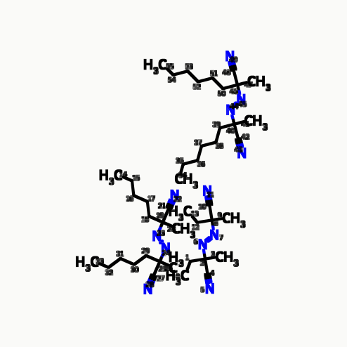 CCC(C)(C#N)N=NC(C)(C#N)CC.CCCCCC(C)(C#N)N=NC(C)(C#N)CCCCC.CCCCCCC(C)(C#N)N=NC(C)(C#N)CCCCCC